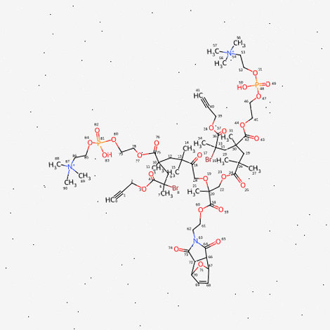 C#CCOC(=O)C(C)(Br)CC(C)(CC(C)(C)C(=O)COC(C)(COC(=O)C(C)(C)CC(C)(CC(C)(Br)C(=O)OCC#C)C(=O)OCCOP(=O)(O)OCC[N+](C)(C)C)C(=O)OCCN1C(=O)C2C3C=CC(O3)C2C1=O)C(=O)OCCOP(=O)(O)OCC[N+](C)(C)C